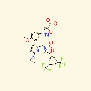 COC(=O)c1cc(-c2ccc(OC)c(-c3ccc(N4CCC4)nc3CN3C(=O)O[C@H](c4cc(C(F)(F)F)cc(C(F)(F)F)c4)[C@@H]3C)c2)no1